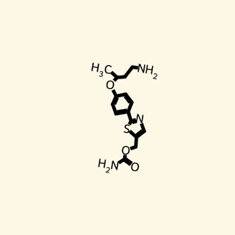 CC(CCN)Oc1ccc(-c2ncc(COC(N)=O)s2)cc1